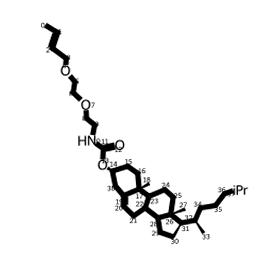 C/C=C/COCCOCCNC(=O)O[C@H]1CC[C@@]2(C)C(=CCC3C2CC[C@@]2(C)C3CC[C@@H]2[C@H](C)CCCC(C)C)C1